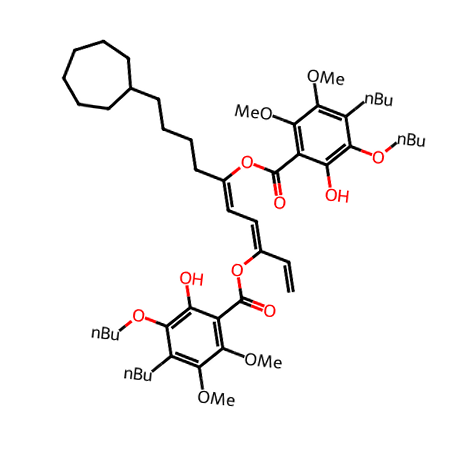 C=CC(=CC=C(CCCCC1CCCCCC1)OC(=O)c1c(O)c(OCCCC)c(CCCC)c(OC)c1OC)OC(=O)c1c(O)c(OCCCC)c(CCCC)c(OC)c1OC